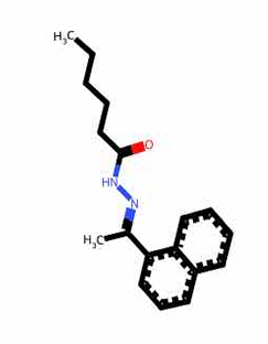 CCCCCC(=O)NN=C(C)c1cccc2ccccc12